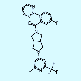 Cc1cc(N2CC3CN(C(=O)c4cc(F)ccc4-c4ncccn4)CC3C2)nc(C(F)(F)F)n1